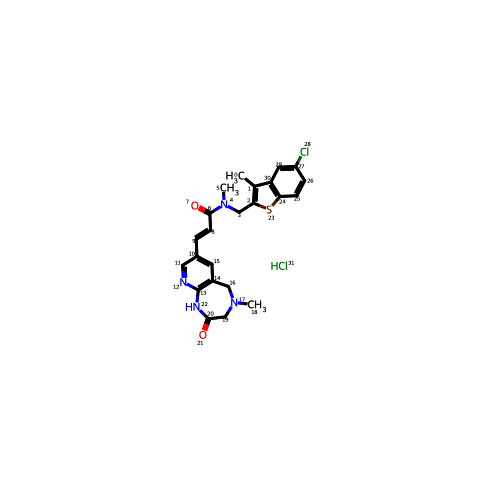 Cc1c(CN(C)C(=O)C=Cc2cnc3c(c2)CN(C)CC(=O)N3)sc2ccc(Cl)cc12.Cl